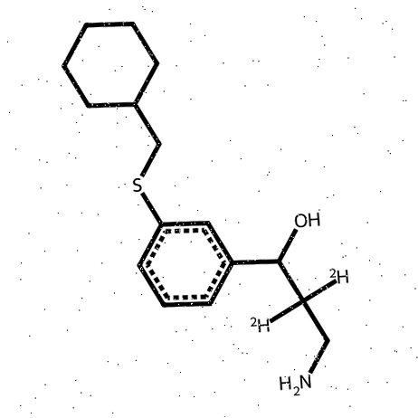 [2H]C([2H])(CN)C(O)c1cccc(SCC2CCCCC2)c1